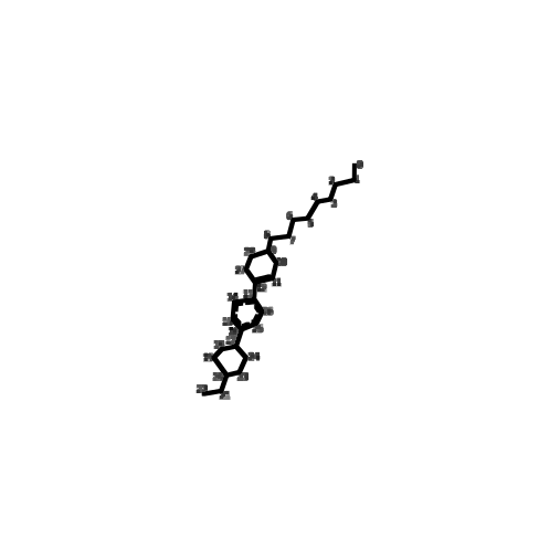 CCCCCCCCCC1CC=C(c2ccc(C3CCC(CC)CC3)cc2)CC1